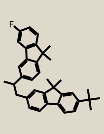 CC(Cc1ccc2c(c1)C(C)(C)c1cc(C(C)(C)C)ccc1-2)c1ccc2c(c1)-c1cc(F)ccc1C2(C)C